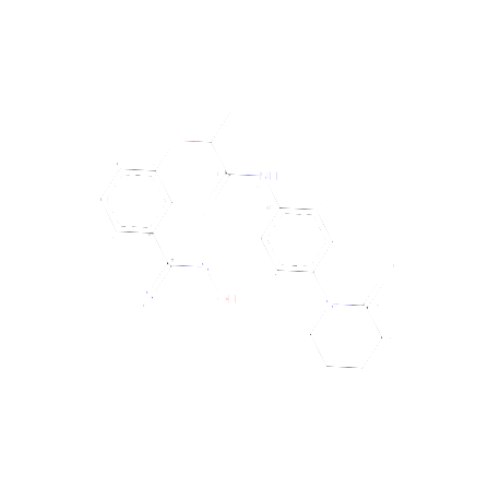 CC(Oc1cccc(C(=N)NO)c1)C(=O)Nc1ccc(N2CCCCC2=O)cc1